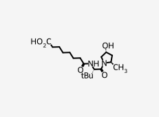 C[C@@H]1C[C@@H](O)CN1C(=O)[C@@H](NC(=O)CCCCCCC(=O)O)C(C)(C)C